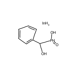 O=[PH](O)C(O)c1ccccc1.[InH3]